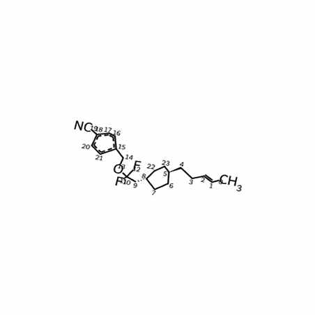 CC=CCC[C@H]1CC[C@H](CC(F)(F)OCc2ccc(C#N)cc2)CC1